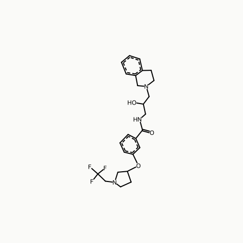 O=C(NCC(O)CN1CCc2ccccc2C1)c1cccc(OC2CCN(CC(F)(F)F)C2)c1